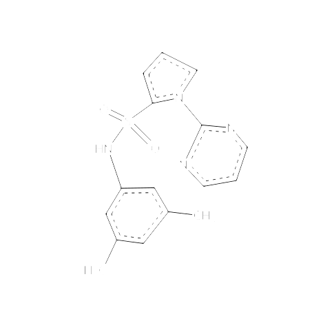 Cc1cc(C)cc(NS(=O)(=O)c2cccn2-c2ncccn2)c1